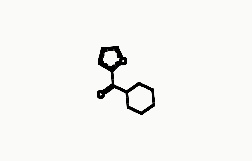 O=C(c1ccco1)C1CCCCC1